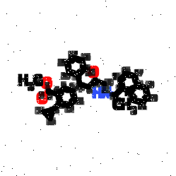 COC(=O)c1cc([C@H]2C[C@H](CNC(C)c3cccc4ccccc34)Oc3ccccc32)ccc1C1CC1